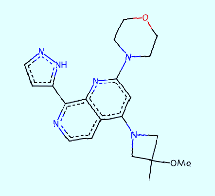 COC1(C)CN(c2cc(N3CCOCC3)nc3c(-c4ccn[nH]4)nccc23)C1